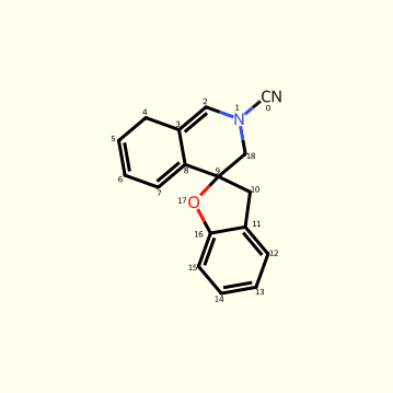 N#CN1C=C2CC=CC=C2C2(Cc3ccccc3O2)C1